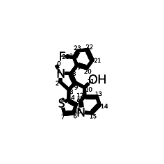 CN1CC(c2cccs2)C(C(O)c2cccnc2)=C1c1ccccc1F